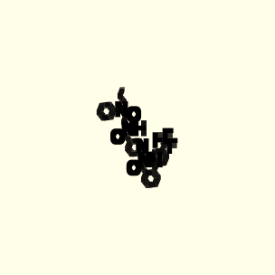 CCCN(C(=O)CNC(=O)c1ccc(NC(=O)c2ccccc2-c2ccc(C(F)(F)F)cc2)nc1)c1ccccc1